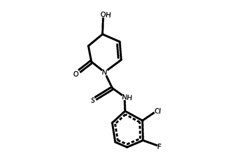 O=C1CC(O)C=CN1C(=S)Nc1cccc(F)c1Cl